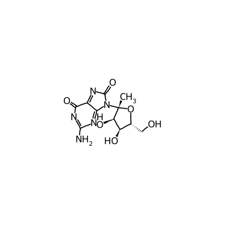 C[C@@]1(N2C(=O)N=C3C(=O)N=C(N)N=C32)O[C@H](CO)[C@@H](O)[C@H]1O